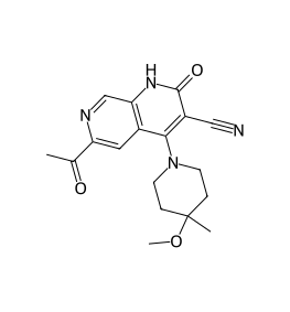 COC1(C)CCN(c2c(C#N)c(=O)[nH]c3cnc(C(C)=O)cc23)CC1